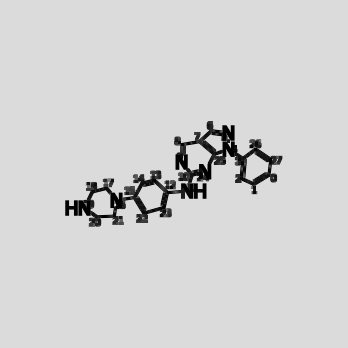 c1ccc(-n2ncc3cnc(Nc4ccc(N5CCNCC5)cc4)nc32)cc1